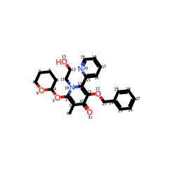 Cc1c(OC2CCCCO2)n(CCO)c(-c2ccccn2)c(OCc2ccccc2)c1=O